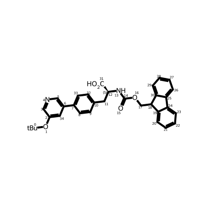 CC(C)(C)Oc1cncc(-c2ccc(C[C@H](NC(=O)OCC3c4ccccc4-c4ccccc43)C(=O)O)cc2)c1